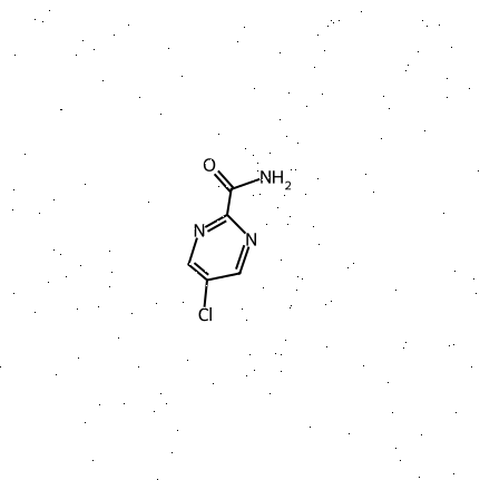 NC(=O)c1ncc(Cl)cn1